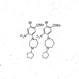 COc1cc(N2CCCN(C3CCCC3)CC2)c([N+](=O)[O-])cc1Br.COc1cc(N2CCCN(C3CCCC3)CC2)c([N+](=O)[O-])cc1Br